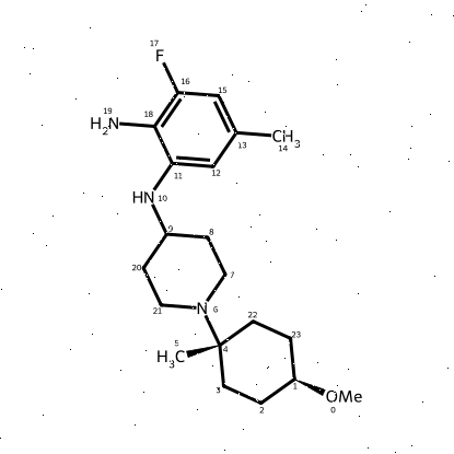 CO[C@H]1CC[C@](C)(N2CCC(Nc3cc(C)cc(F)c3N)CC2)CC1